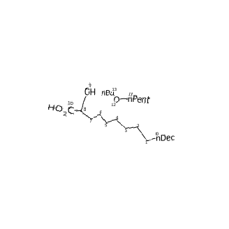 CCCCCCCCCCCCCCCCCC(O)C(=O)O.CCCCCOCCCC